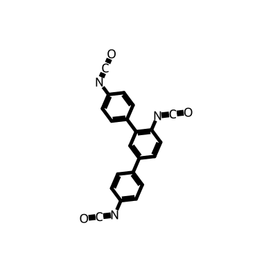 O=C=Nc1ccc(-c2ccc(N=C=O)c(-c3ccc(N=C=O)cc3)c2)cc1